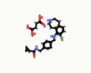 O=C(NCc1ccc(CNc2c(Cl)ccc3c2CCNCC3)cc1)C1CC1.O=C(O)CCC(=O)O